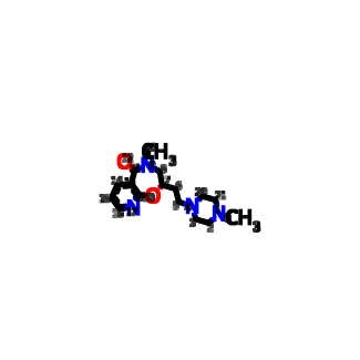 CN1CCN(CCC2CN(C)C(=O)c3cccnc3O2)CC1